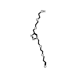 O=CCCOCCOCCn1cc(COCCOCCO)nn1